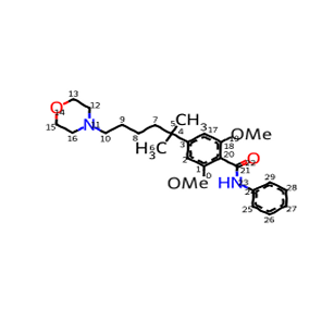 COc1cc(C(C)(C)CCCCN2CCOCC2)cc(OC)c1C(=O)Nc1ccccc1